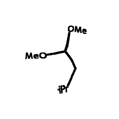 COC(C[C](C)C)OC